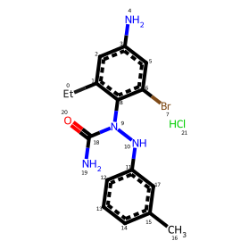 CCc1cc(N)cc(Br)c1N(Nc1cccc(C)c1)C(N)=O.Cl